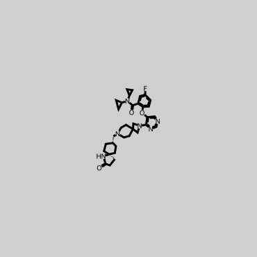 O=C1CC[C@]2(CC[C@@H](CN3CCC4(CC3)CN(c3ncncc3Oc3ccc(F)cc3C(=O)N(C3CC3)C3CC3)C4)CC2)N1